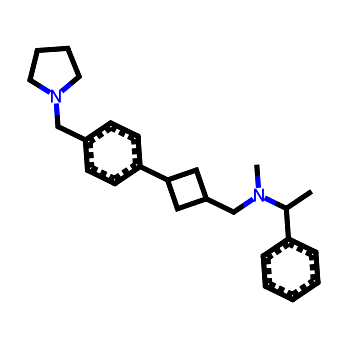 CC(c1ccccc1)N(C)CC1CC(c2ccc(CN3CCCC3)cc2)C1